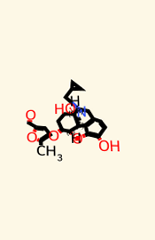 Cc1ccc(C=O)o1.O=C1CC[C@@]2(O)[C@H]3Cc4ccc(O)c5c4[C@@]2(CCN3CC2CC2)[C@H]1O5